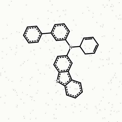 C1=CCC(N(c2cccc(-c3ccccc3)c2)c2ccc3sc4ccccc4c3c2)C=C1